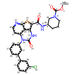 CC(C)(C)OC(=O)N1CCC[C@@H](NC(=O)c2sc3nccc4c3c2NC(=O)N4c2cccc(-c3cccc(Cl)c3)c2)C1